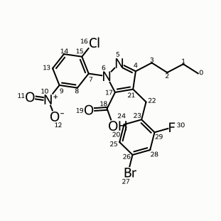 CCCCc1nn(-c2cc([N+](=O)[O-])ccc2Cl)c(C(=O)O)c1Cc1ccc(Br)cc1F